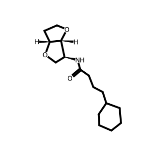 O=C(CCCC1CCCCC1)N[C@H]1CO[C@@H]2CCO[C@H]12